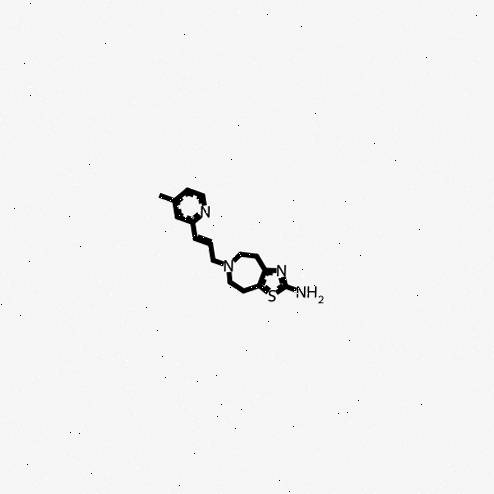 Cc1ccnc(C=CCN2CCc3nc(N)sc3CC2)c1